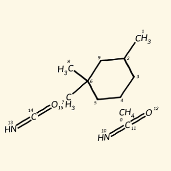 C.CC1CCCC(C)(C)C1.N=C=O.N=C=O